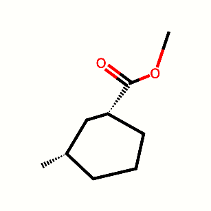 COC(=O)[C@@H]1CCC[C@H](C)C1